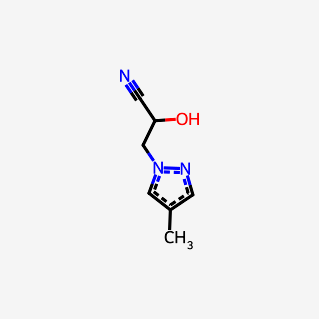 Cc1cnn(CC(O)C#N)c1